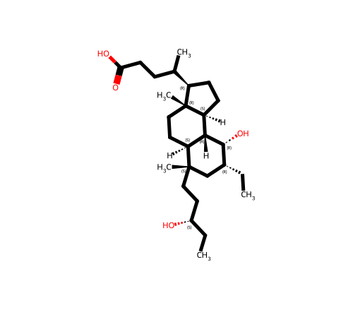 CC[C@H](O)CC[C@@]1(C)C[C@@H](CC)[C@@H](O)[C@@H]2[C@@H]1CC[C@]1(C)[C@@H](C(C)CCC(=O)O)CC[C@@H]21